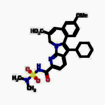 COc1ccc2c(c1)C=C(C(=O)O)Cn1c-2c(C2CCCCC2)c2ccc(C(=O)NS(=O)(=O)N(C)C)nc21